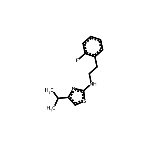 CC(C)c1csc(NCCc2ccccc2F)n1